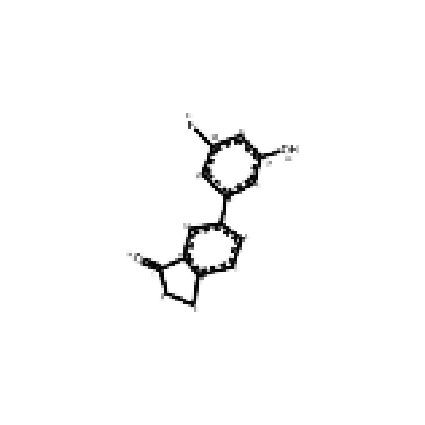 O=C1CCc2ccc(-c3cc(O)cc(F)c3)cc21